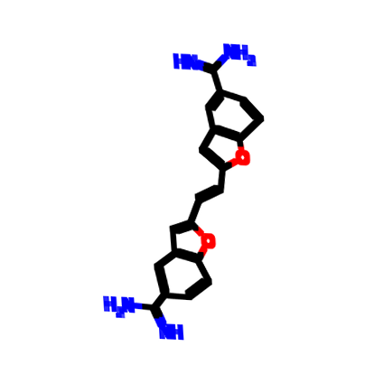 N=C(N)c1ccc2oc(C=Cc3cc4cc(C(=N)N)ccc4o3)cc2c1